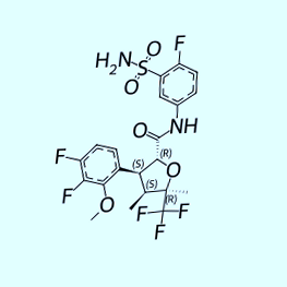 COc1c([C@H]2[C@H](C(=O)Nc3ccc(F)c(S(N)(=O)=O)c3)O[C@@](C)(C(F)(F)F)[C@H]2C)ccc(F)c1F